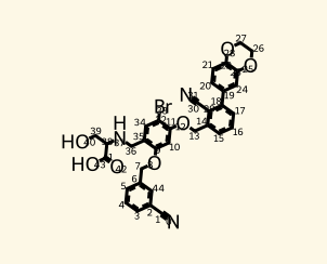 N#Cc1cccc(COc2cc(OCc3cccc(-c4ccc5c(c4)OCCO5)c3C#N)c(Br)cc2CNC(CO)C(=O)O)c1